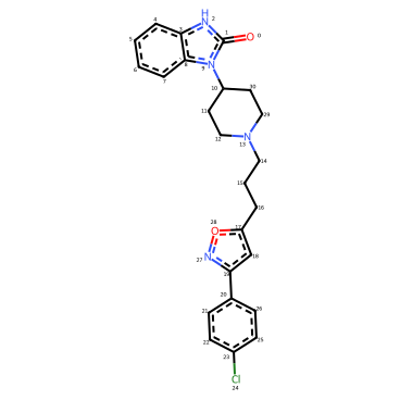 O=c1[nH]c2ccccc2n1C1CCN(CCCc2cc(-c3ccc(Cl)cc3)no2)CC1